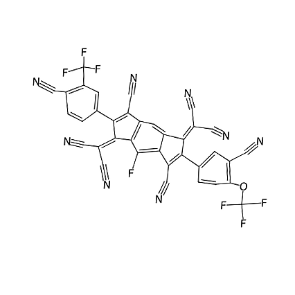 N#CC(C#N)=C1C(c2ccc(OC(F)(F)F)c(C#N)c2)=C(C#N)c2c1cc1c(c2F)C(=C(C#N)C#N)C(c2ccc(C#N)c(C(F)(F)F)c2)=C1C#N